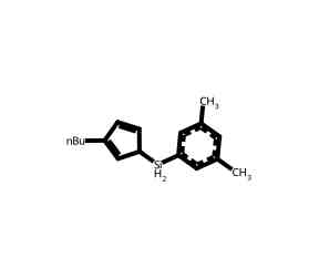 CCCCC1=C[C]([SiH2]c2cc(C)cc(C)c2)C=C1